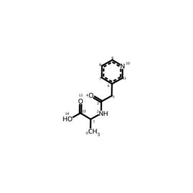 CC(NC(=O)Cc1cccnc1)C(=O)O